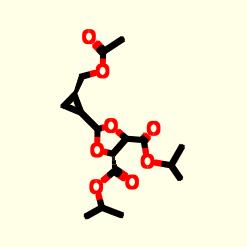 CC(=O)OC[C@@H]1CC1C1OC(C(=O)OC(C)C)[C@H](C(=O)OC(C)C)O1